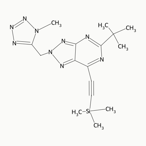 Cn1nnnc1Cn1nc2nc(C(C)(C)C)nc(C#C[Si](C)(C)C)c2n1